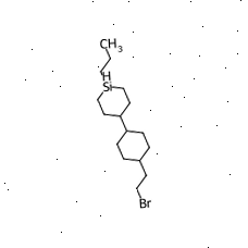 CCC[SiH]1CCC(C2CCC(CCBr)CC2)CC1